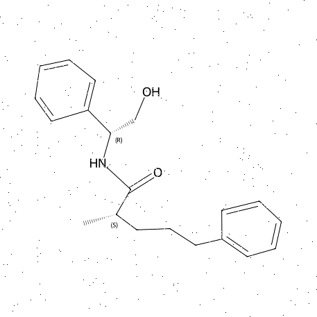 C[C@@H](CCCc1ccccc1)C(=O)N[C@@H](CO)c1ccccc1